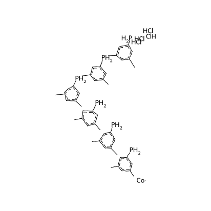 Cc1cc(C)cc(P)c1.Cc1cc(C)cc(P)c1.Cc1cc(C)cc(P)c1.Cc1cc(C)cc(P)c1.Cc1cc(C)cc(P)c1.Cc1cc(C)cc(P)c1.Cl.Cl.Cl.Cl.[Co]